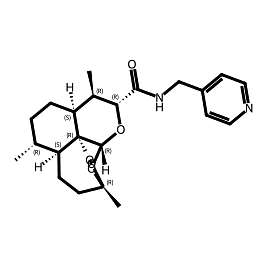 C[C@H]1[C@H](C(=O)NCc2ccncc2)O[C@@H]2O[C@@]3(C)CC[C@H]4[C@H](C)CC[C@@H]1[C@@]24OO3